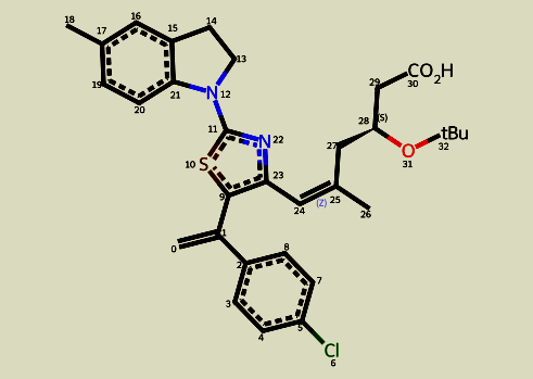 C=C(c1ccc(Cl)cc1)c1sc(N2CCc3cc(C)ccc32)nc1/C=C(/C)C[C@@H](CC(=O)O)OC(C)(C)C